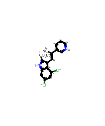 CCOC(=O)c1[nH]c2cc(Cl)cc(Cl)c2c1C=C(C#N)c1cccnc1